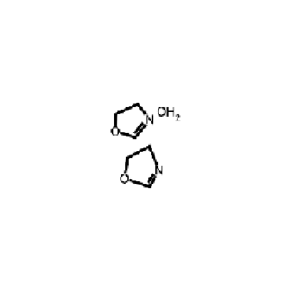 C1=NCCO1.C1=NCCO1.O